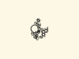 CC1(S(=O)(=O)NC(=O)[C@@]23C[C@H]2/C=C\CCCCC[C@H](NC(=O)c2ccns2)C(=O)N2C[C@H](Oc4nc5cc(OC(F)(F)F)ccc5c5ccc(F)cc45)C[C@H]2C(=O)N3)CC1